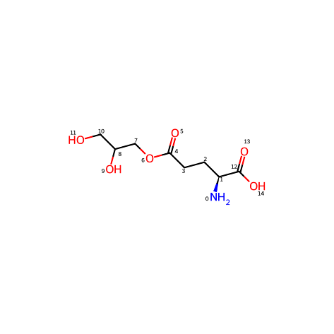 N[C@@H](CCC(=O)OCC(O)CO)C(=O)O